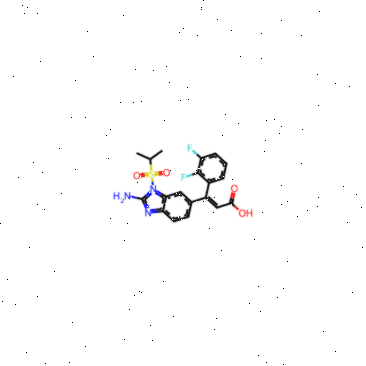 CC(C)S(=O)(=O)n1c(N)nc2ccc(C(=CC(=O)O)c3cccc(F)c3F)cc21